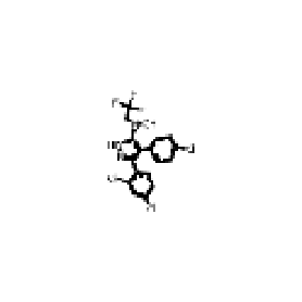 CN(CC(F)(F)F)c1[nH]nc(-c2ccc(Cl)cc2Cl)c1-c1ccc(Cl)cc1